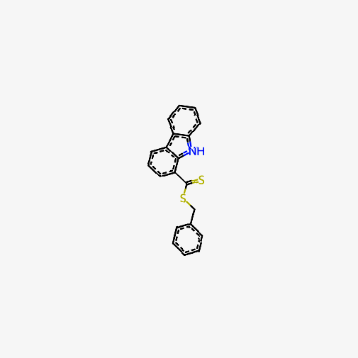 S=C(SCc1ccccc1)c1cccc2c1[nH]c1ccccc12